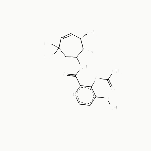 COc1ccnc(C(=O)NC2CC(C)(C)C=C[C@@H](C)[C@@H]2C)c1OC(C)=O